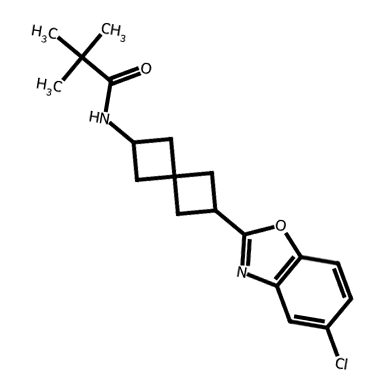 CC(C)(C)C(=O)NC1CC2(C1)CC(c1nc3cc(Cl)ccc3o1)C2